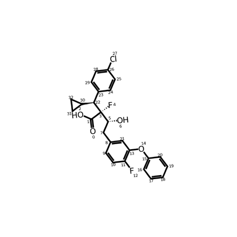 O=C(O)[C@](F)([C@H](O)Cc1ccc(F)c(Oc2ccccc2)c1)[C@H](c1ccc(Cl)cc1)C1CC1